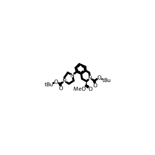 COC(=O)[C@H]1Cc2c(cccc2N2CCN(C(=O)OC(C)(C)C)CC2)CN1C(=O)OC(C)(C)C